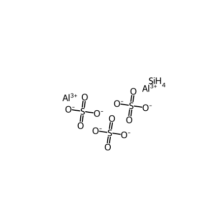 O=S(=O)([O-])[O-].O=S(=O)([O-])[O-].O=S(=O)([O-])[O-].[Al+3].[Al+3].[SiH4]